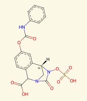 O=C(Nc1ccccc1)Oc1ccc2c(c1)[C@H]1CN(C(=O)N1OS(=O)(=O)O)C2C(=O)O